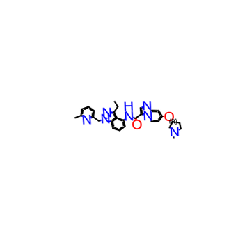 CCc1nn(Cc2cccc(C)n2)c2cccc(NC(=O)c3cnc4cc(O[C@@H]5CCN(C)C5)ccn34)c12